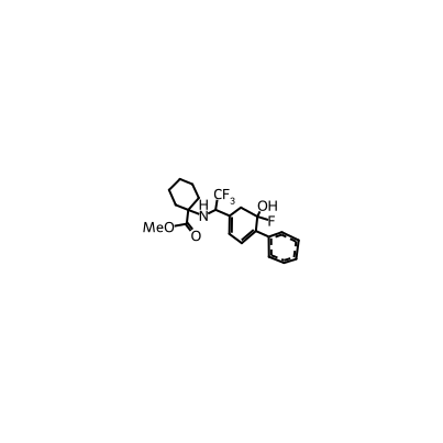 COC(=O)C1(NC(C2=CC=C(c3ccccc3)C(O)(F)C2)C(F)(F)F)CCCCC1